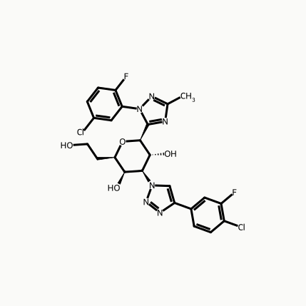 Cc1nc([C@@H]2O[C@H](CCO)[C@H](O)[C@H](n3cc(-c4ccc(Cl)c(F)c4)nn3)[C@H]2O)n(-c2cc(Cl)ccc2F)n1